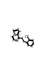 Clc1ccccc1CCc1nccn2cccc12